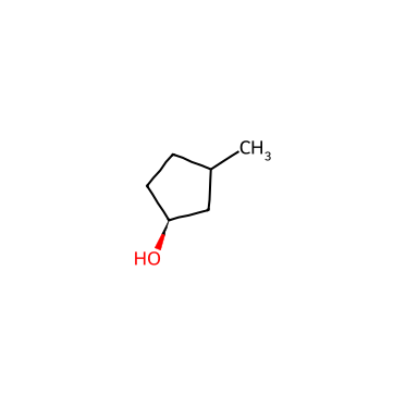 CC1CC[C@H](O)C1